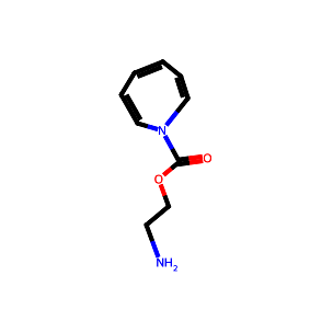 NCCOC(=O)N1C=CC=CC=C1